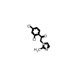 Cc1nccn1CC(=O)c1ccc(Cl)cc1Cl